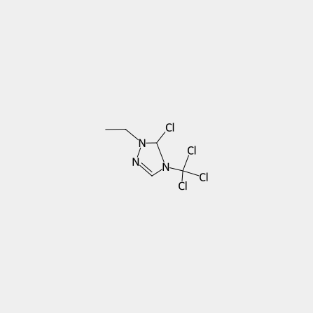 CCN1N=CN(C(Cl)(Cl)Cl)C1Cl